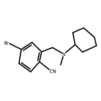 CN(Cc1cc(Br)ccc1C#N)C1CCCCC1